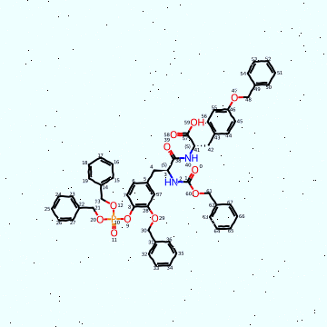 O=C(N[C@@H](Cc1ccc(OP(=O)(OCc2ccccc2)OCc2ccccc2)c(OCc2ccccc2)c1)C(=O)N[C@@H](Cc1ccc(OCc2ccccc2)cc1)C(=O)O)OCc1ccccc1